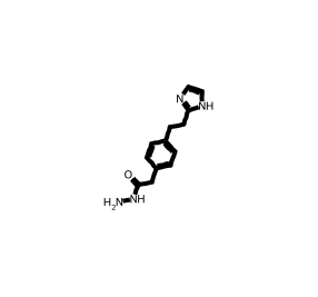 NNC(=O)Cc1ccc(CCc2ncc[nH]2)cc1